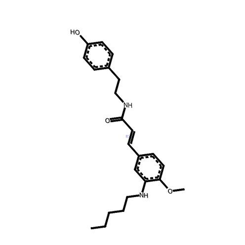 CCCCCNc1cc(/C=C/C(=O)NCCc2ccc(O)cc2)ccc1OC